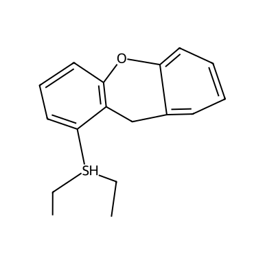 CC[SH](CC)c1cccc2c1Cc1ccccc1O2